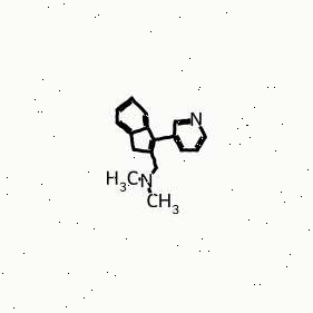 CN(C)CC1=C(c2cccnc2)c2ccccc2C1